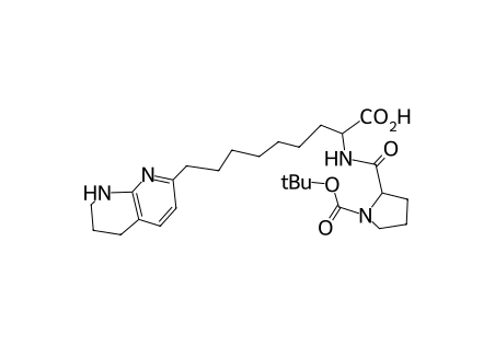 CC(C)(C)OC(=O)N1CCCC1C(=O)NC(CCCCCCCc1ccc2c(n1)NCCC2)C(=O)O